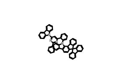 c1ccc(-c2nc(-c3ccccc3-n3c4ccccc4c4ccc5c(c43)-c3ccccc3C53c4ccccc4-c4ccccc43)cc(-n3c4ccccc4c4ccccc43)n2)cc1